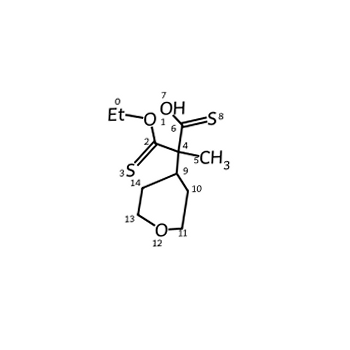 CCOC(=S)C(C)(C(O)=S)C1CCOCC1